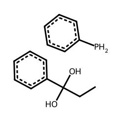 CCC(O)(O)c1ccccc1.Pc1ccccc1